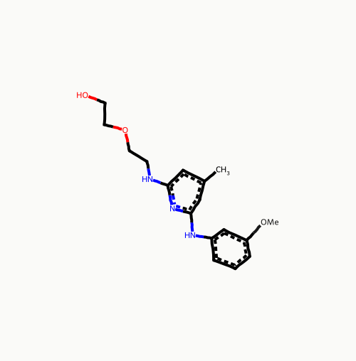 COc1cccc(Nc2cc(C)cc(NCCOCCO)n2)c1